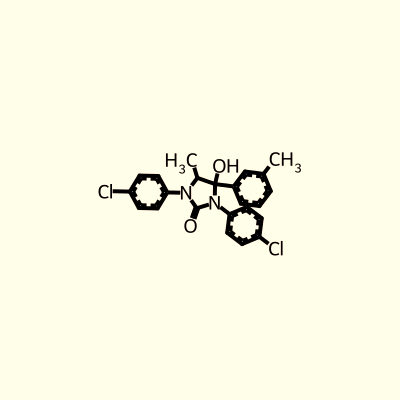 Cc1cccc(C2(O)C(C)N(c3ccc(Cl)cc3)C(=O)N2c2ccc(Cl)cc2)c1